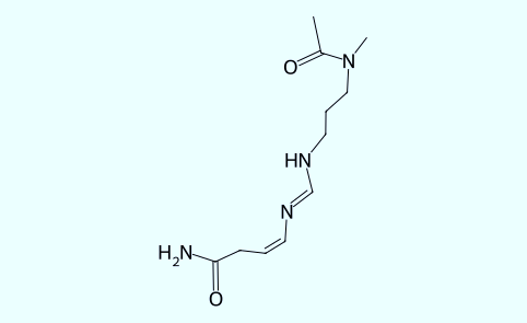 CC(=O)N(C)CCCN/C=N/C=C\CC(N)=O